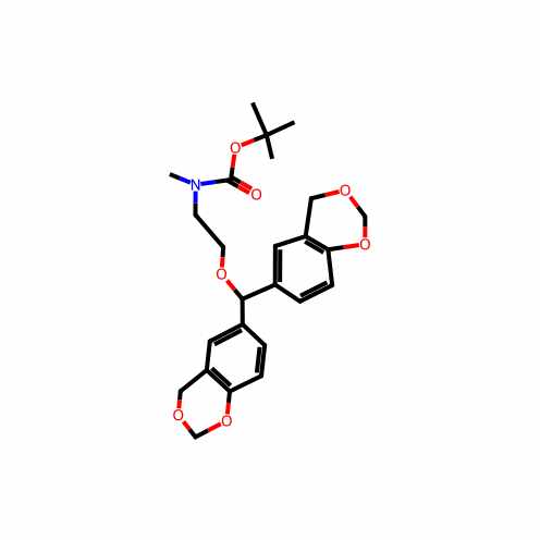 CN(CCOC(c1ccc2c(c1)COCO2)c1ccc2c(c1)COCO2)C(=O)OC(C)(C)C